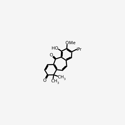 COc1c(C(C)C)cc2ccc3c(c(=O)c2c1O)C=CC(=O)C3(C)C